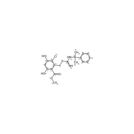 COC(=O)c1c(O)cc(O)c(Cl)c1CCC(=N)NC(C)(C)c1ccccc1